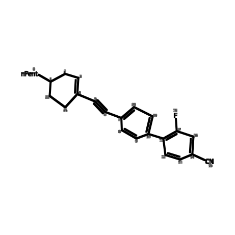 CCCCCC1CC=C(C#Cc2ccc(-c3ccc(C#N)cc3F)cc2)CC1